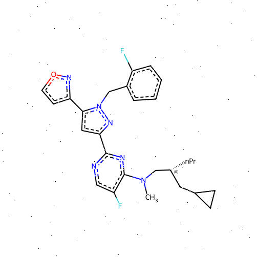 CCC[C@H](CC1CC1)CN(C)c1nc(-c2cc(-c3ccon3)n(Cc3ccccc3F)n2)ncc1F